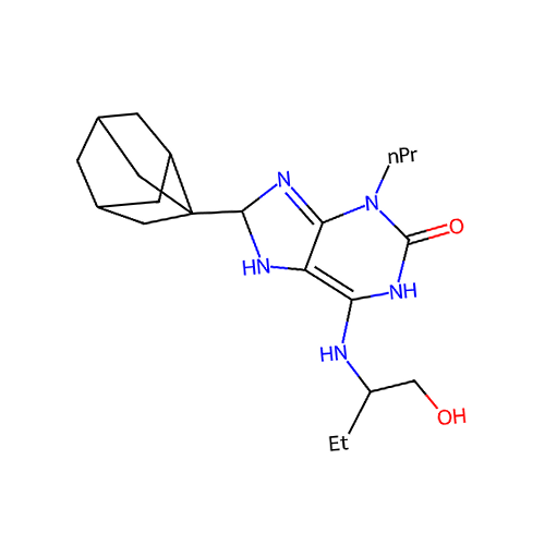 CCCN1C(=O)NC(NC(CC)CO)=C2NC(C34CC5CC(CC3C5)C4)N=C21